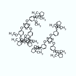 CC12CCC(CC1=C=C1C=CC=C(Oc3nc(OC4=CC=CC(=C=C5CC6CCC5(C)C6(C)C)C4)nc(OC4=CC=CC(=C=C5CC6CCC5(C)C6(C)C)C4)n3)C1)C2(C)C.COC1C=C(Oc2nc(OC3=CC(OC)C(=C=C4CC5CCC4(C)C5(C)C)C=C3)nc(OC3=CC(OC)C(=C=C4CC5CCC4(C)C5(C)C)C=C3)n2)C=CC1=C=C1CC2CCC1(C)C2(C)C